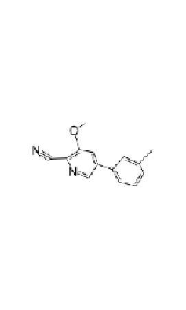 COc1cc(-c2cccc(C)c2)cnc1C#N